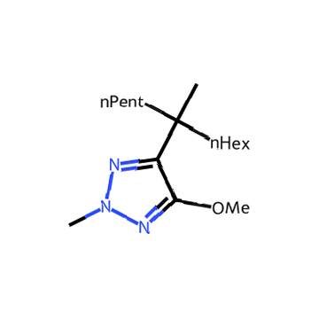 CCCCCCC(C)(CCCCC)c1nn(C)nc1OC